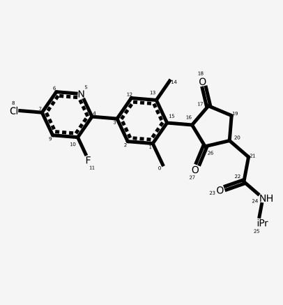 Cc1cc(-c2ncc(Cl)cc2F)cc(C)c1C1C(=O)CC(CC(=O)NC(C)C)C1=O